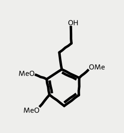 COc1ccc(OC)c(OC)c1CCO